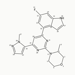 CC1COCCN1c1nc(-c2cc(F)cc3[nH]ccc23)cc(-c2ccnn2C)n1